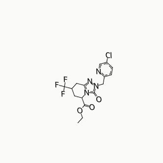 CCOC(=O)C1CC(C(F)(F)F)Cc2nn(Cc3ccc(Cl)cn3)c(=O)n21